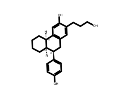 OCCCc1cc2c(cc1O)[C@@H]1CCCC[C@@H]1[C@H](c1ccc(O)cc1)C2